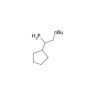 CCCCCC(P)C1CCCC1